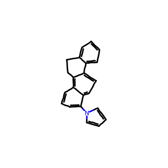 c1ccc2c(c1)CCc1c-2ccc2c(-n3cccc3)cccc12